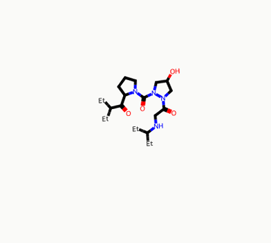 CCC(CC)NCC(=O)N1CC(O)CN1C(=O)N1CCCC1C(=O)C(CC)CC